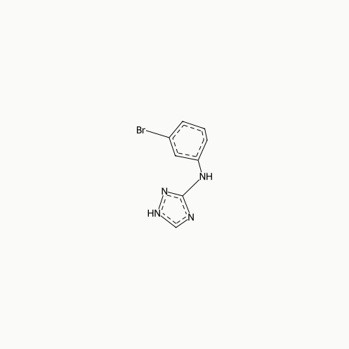 Brc1cccc(Nc2nc[nH]n2)c1